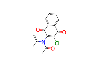 C=C(C)N(C(C)=O)C1=C(Cl)C(=O)c2ccccc2C1=O